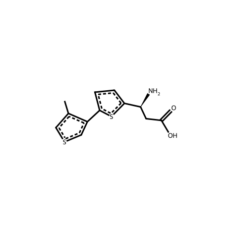 Cc1cscc1-c1ccc([C@@H](N)CC(=O)O)s1